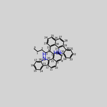 CCCC[C](c1cccc2ccc3c4ccccc4[nH]c3c12)c1cccc2ccc3c4ccccc4[nH]c3c12